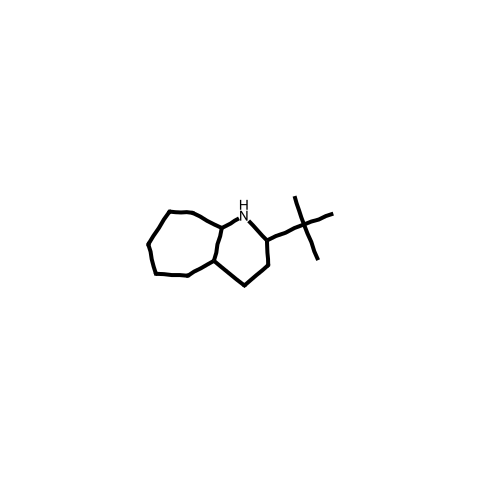 CC(C)(C)C1CCC2CCCCCC2N1